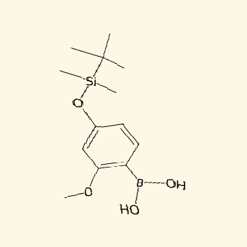 COc1cc(O[Si](C)(C)C(C)(C)C)ccc1B(O)O